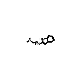 CN(C)CCNc1cc2ccccc2[nH]1